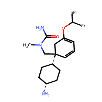 CCCC(CC)OC1=CC=CC(CN(C)C(N)=O)([C@H]2CC[C@@H](N)CC2)C1